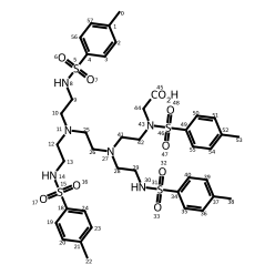 Cc1ccc(S(=O)(=O)NCCN(CCNS(=O)(=O)c2ccc(C)cc2)CCN(CCNS(=O)(=O)c2ccc(C)cc2)CCN(CC(=O)O)S(=O)(=O)c2ccc(C)cc2)cc1